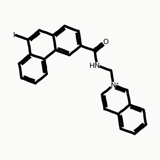 O=C(NC[n+]1ccc2ccccc2c1)c1ccc2cc(I)c3ccccc3c2c1